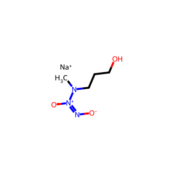 CN(CCCO)/[N+]([O-])=N\[O-].[Na+]